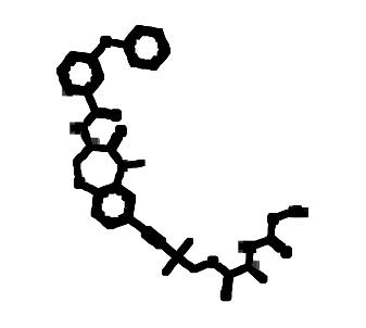 C[C@H](NC(=O)OC(C)(C)C)C(=O)OCC(C)(C)C#Cc1ccc2c(c1)N(C)C(=O)[C@H](NC(=O)c1cc(Oc3ccccc3)ccn1)CO2